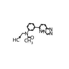 C#CCN(C(C)=O)c1cccc(-c2ccc3nncn3n2)c1